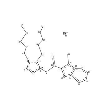 CCCCCc1sc[n+](CC(=O)c2sc3ccccc3c2C)c1CCCCC.[Br-]